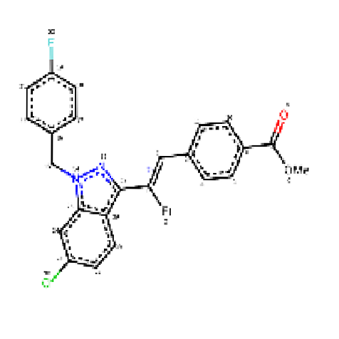 CC/C(=C\c1ccc(C(=O)OC)cc1)c1nn(Cc2ccc(F)cc2)c2cc(Cl)ccc12